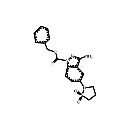 Nc1nn(C(=O)OCc2ccccc2)c2ccc(N3CCCS3(=O)=O)cc12